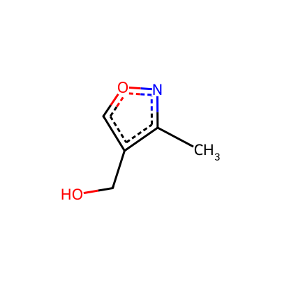 Cc1nocc1CO